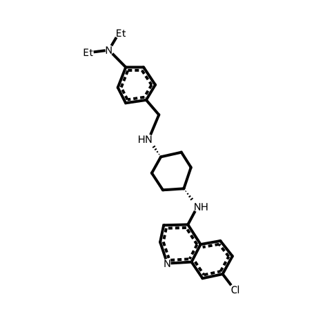 CCN(CC)c1ccc(CN[C@H]2CC[C@@H](Nc3ccnc4cc(Cl)ccc34)CC2)cc1